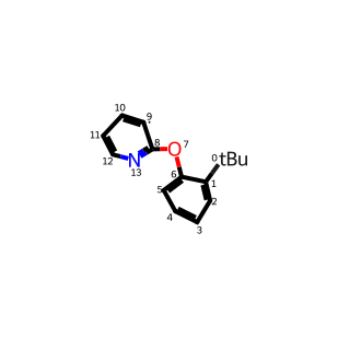 CC(C)(C)c1ccccc1Oc1[c]cccn1